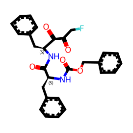 O=C(N[C@@H](Cc1ccccc1)C(=O)N[C@@H](Cc1ccccc1)C(=O)C(=O)CF)OCc1ccccc1